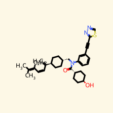 C=C(/C=C\C(OC)=C(C)C)[C@H]1CC[C@H](CN(c2cccc(C#Cc3nncs3)c2)C(=O)[C@H]2CC[C@H](O)CC2)CC1